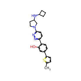 Cc1ccc(-c2ccc(-c3ccc(N4CCC(NC5CCC5)C4)nn3)c(O)c2)s1